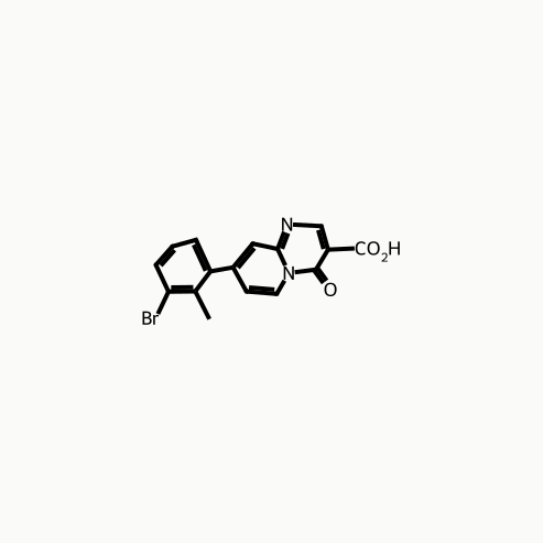 Cc1c(Br)cccc1-c1ccn2c(=O)c(C(=O)O)cnc2c1